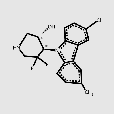 Cc1ccc2c(c1)c1cc(Cl)ccc1n2[C@@H]1[C@@H](O)CNCC1(F)F